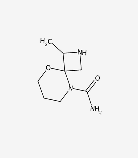 CC1NCC12OCCCN2C(N)=O